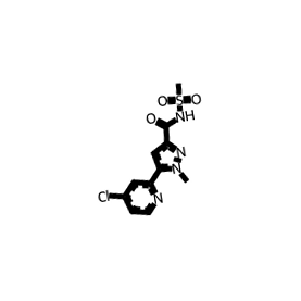 Cn1nc(C(=O)NS(C)(=O)=O)cc1-c1cc(Cl)ccn1